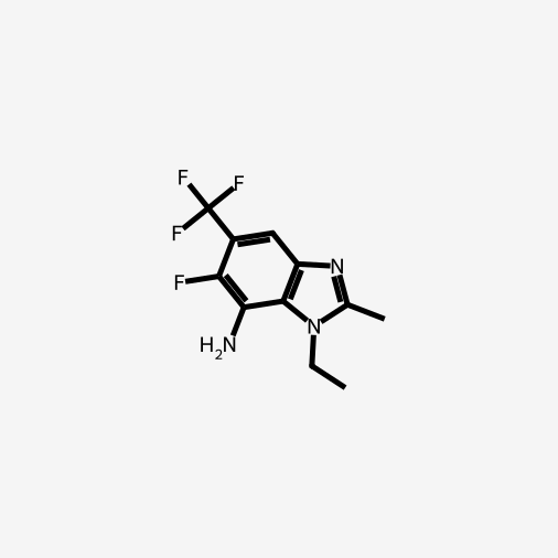 CCn1c(C)nc2cc(C(F)(F)F)c(F)c(N)c21